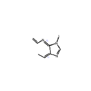 C=C/N=C1\C(=C/C)N=CN1I